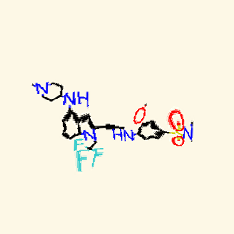 COc1cc(S(=O)(=O)N(C)C)ccc1NCC#Cc1cc2c(NC3CCN(C)CC3)cccc2n1CC(F)(F)F